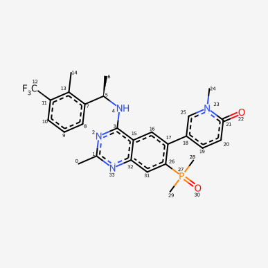 Cc1nc(N[C@H](C)c2cccc(C(F)(F)F)c2C)c2cc(-c3ccc(=O)n(C)c3)c(P(C)(C)=O)cc2n1